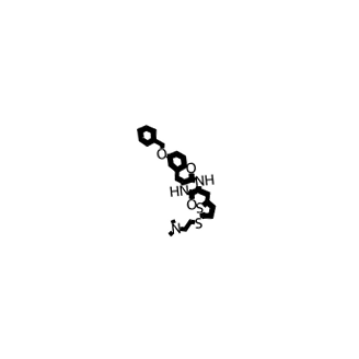 CN(C)CCSc1ccc(C=c2[nH]c(=O)c(=Cc3cccc(OCc4ccccc4)c3)[nH]c2=O)s1